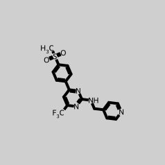 CS(=O)(=O)c1ccc(-c2cc(C(F)(F)F)nc(NCc3ccncc3)n2)cc1